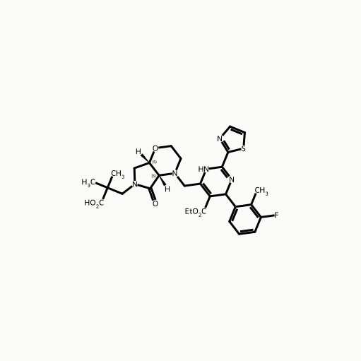 CCOC(=O)C1=C(CN2CCO[C@H]3CN(CC(C)(C)C(=O)O)C(=O)[C@H]32)NC(c2nccs2)=NC1c1cccc(F)c1C